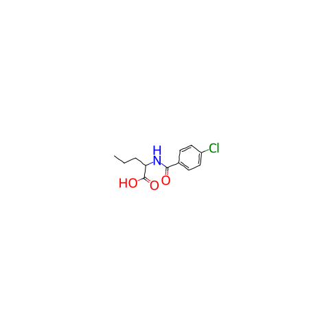 CCCC(NC(=O)c1ccc(Cl)cc1)C(=O)O